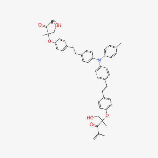 C=C(C)C(=O)C(C)(CO)Oc1ccc(CCc2ccc(N(c3ccc(C)cc3)c3ccc(CCc4ccc(OC(C)(CO)C(=O)C(C)C)cc4)cc3)cc2)cc1